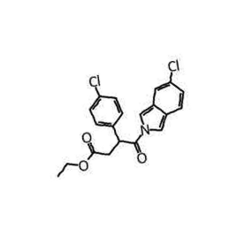 CCOC(=O)CC(C(=O)n1cc2ccc(Cl)cc2c1)c1ccc(Cl)cc1